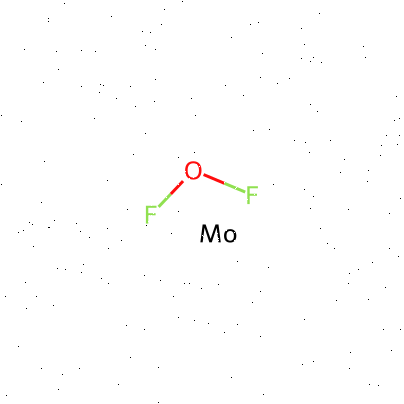 FOF.[Mo]